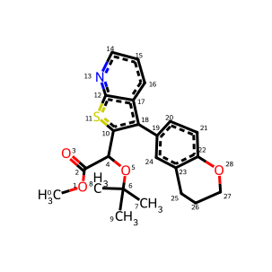 COC(=O)C(OC(C)(C)C)c1sc2ncccc2c1-c1ccc2c(c1)CCCO2